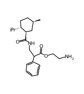 CC(C)[C@@H]1CC[C@@H](C)C[C@H]1C(=O)NCC(C(=O)OCCN)c1ccccc1